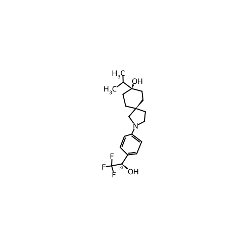 CC(C)[C@]1(O)CC[C@]2(CCN(c3ccc([C@@H](O)C(F)(F)F)cc3)C2)CC1